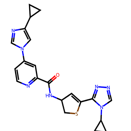 O=C(NC1C=C(c2nncn2C2CC2)SC1)c1cc(-n2cnc(C3CC3)c2)ccn1